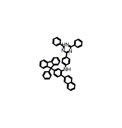 N=C(/N=C(\N=C\c1ccccc1)c1ccc(Nc2cc(C3(c4ccccc4)c4ccccc4-c4ccccc43)ccc2-c2ccc3ccccc3c2)cc1)c1ccccc1